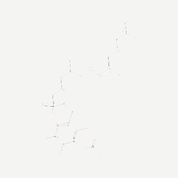 CC(=O)Oc1c(C)c(C)c2c(c1I)CCC(C)(CCCC(C)CCCC(C)CCCC(C)C)O2